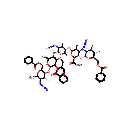 CCC1O[C@@H](O[C@H]2C(C(C)=O)O[C@@H](O[C@@H]3C(COC(=O)c4ccccc4)O[C@H](OC)C(N=[N+]=[N-])[C@H]3C)C(OC(=O)c3ccccc3)[C@@H]2OCc2ccccc2)C(N=[N+]=[N-])[C@@H](C)[C@@H]1O[C@@H]1OC(C(=O)OC)[C@@H](O[C@H]2OC(COC(=O)c3ccccc3)[C@@H](C)[C@H](C)C2N=[N+]=[N-])[C@H](C)C1C